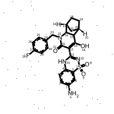 Nc1ccc2c(c1)S(=O)(=O)N=C(C1=C(O)C3C([C@@H]4CC[C@H]3C4)N(Cc3ccc(F)cc3)C1=O)N2